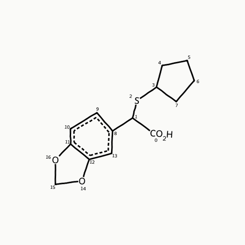 O=C(O)C(SC1CCCC1)c1ccc2c(c1)OCO2